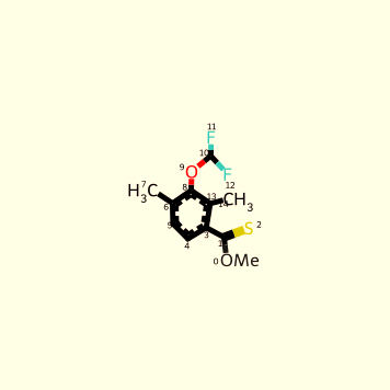 COC(=S)c1ccc(C)c(OC(F)F)c1C